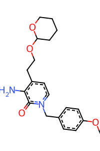 COc1ccc(Cn2ccc(CCOC3CCCCO3)c(N)c2=O)cc1